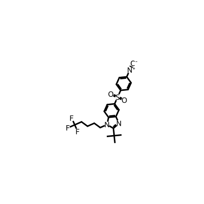 [C-]#[N+]c1ccc(S(=O)(=O)c2ccc3c(c2)nc(C(C)(C)C)n3CCCCC(F)(F)F)cc1